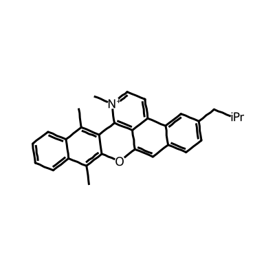 Cc1c2c(c(C)c3ccccc13)-c1c3c(cc4ccc(CC(C)C)cc4c3cc[n+]1C)O2